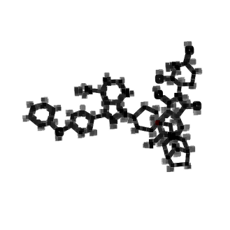 Nc1ncnc2c1c(-c1ccc(Oc3ccccc3)cc1)nn2C1CCC(CN2CC3CCC(C2)N3c2cc3c(cc2F)C(=O)N(C2CCC(=O)NC2=O)C3=O)CC1